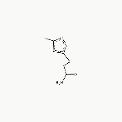 Cc1cc(CCC(N)=O)no1